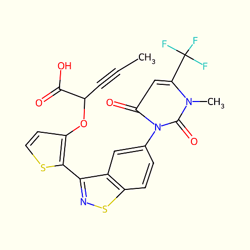 CC#CC(Oc1ccsc1-c1nsc2ccc(-n3c(=O)cc(C(F)(F)F)n(C)c3=O)cc12)C(=O)O